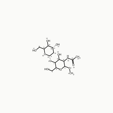 COC1OC(CO)C(O[C@H]2C[C@@H](O)C(O)C(CO)O2)C(O)C1NC(C)=O